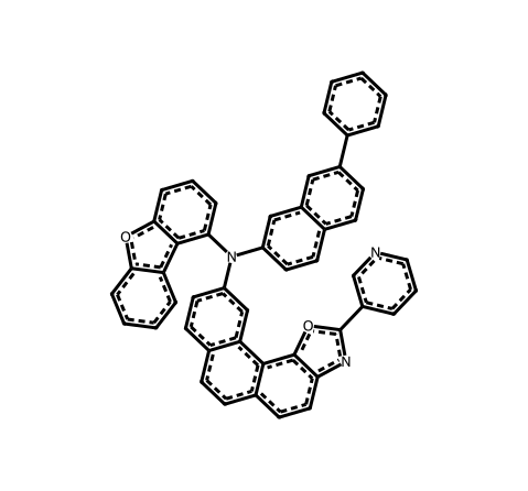 c1ccc(-c2ccc3ccc(N(c4ccc5ccc6ccc7nc(-c8cccnc8)oc7c6c5c4)c4cccc5oc6ccccc6c45)cc3c2)cc1